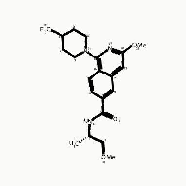 COC[C@H](C)NC(=O)c1ccc2c(N3CCC(C(F)(F)F)CC3)nc(OC)cc2c1